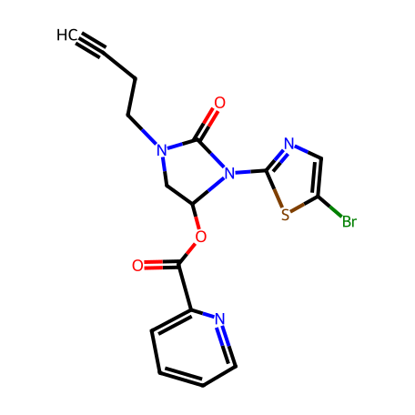 C#CCCN1CC(OC(=O)c2ccccn2)N(c2ncc(Br)s2)C1=O